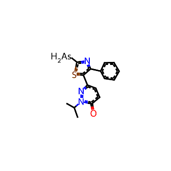 CC(C)n1nc(-c2sc([AsH2])nc2-c2ccccc2)ccc1=O